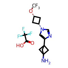 NC12CC(c3cn([C@H]4C[C@@H](OC(F)(F)F)C4)cn3)(C1)C2.O=C(O)C(F)(F)F